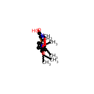 CCCCCCCCC(CCCCCC)COc1ccc2c(c1)C(c1ccc(CCCCCC)cc1)(c1ccc(CCCCCC)cc1)c1c-2c2cccc3c4cccc5c(-c6ccc(-c7ccc(-c8ccc(C(=O)O)cc8)c8nsnc78)s6)cc6c(c54)c(c23)c1n6CC(CCCCCC)CCCCCCCC